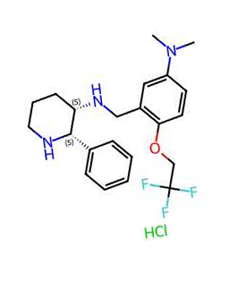 CN(C)c1ccc(OCC(F)(F)F)c(CN[C@H]2CCCN[C@H]2c2ccccc2)c1.Cl